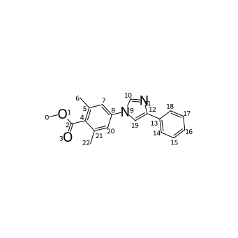 COC(=O)c1c(C)cc(-n2cnc(-c3ccccc3)c2)cc1C